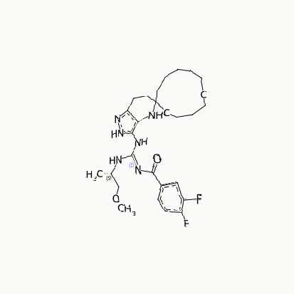 COC[C@H](C)N/C(=N/C(=O)c1ccc(F)c(F)c1)Nc1[nH]nc2c1NC1(CCCCCCCCCC1)CC2